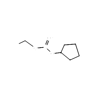 CCOS(=O)OC1CCCC1